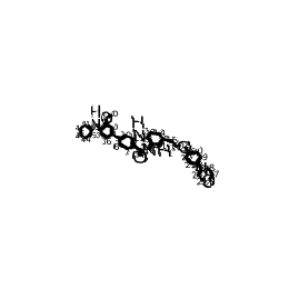 COc1cc(-c2ccc3c(c2)Nc2ccc(CCOc4ccc(N5CCOCC5)cc4)cc2NC3=O)ccc1Nc1ccccc1